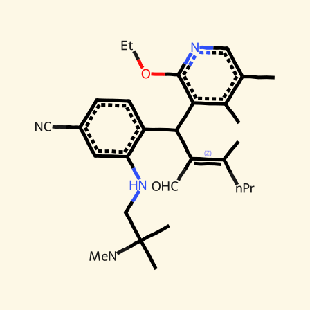 CCC/C(C)=C(\C=O)C(c1ccc(C#N)cc1NCC(C)(C)NC)c1c(OCC)ncc(C)c1C